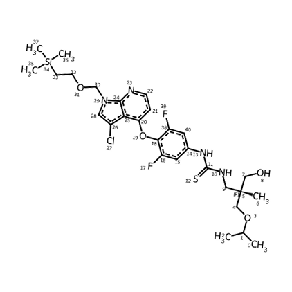 CC(C)OC[C@@](C)(CO)CNC(=S)Nc1cc(F)c(Oc2ccnc3c2c(Cl)cn3COCC[Si](C)(C)C)c(F)c1